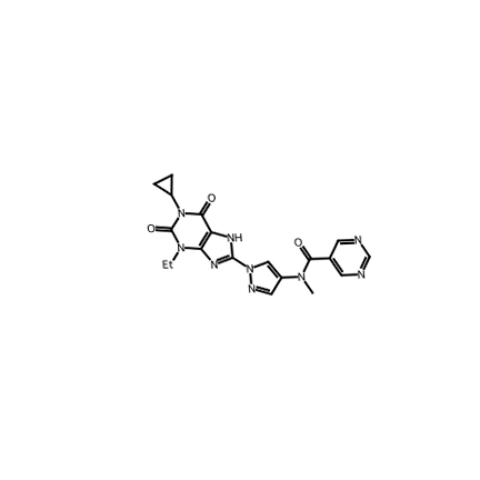 CCn1c(=O)n(C2CC2)c(=O)c2[nH]c(-n3cc(N(C)C(=O)c4cncnc4)cn3)nc21